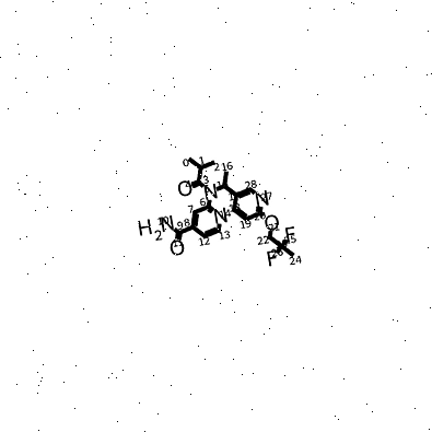 CC(C)C(=O)N(c1cc(C(N)=O)ccn1)C(C)c1ccc(OCC(C)(F)F)nc1